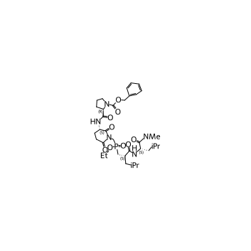 CCOP(=O)(C[C@@H](CC(C)C)C(=O)N[C@@H](CC(C)C)C(=O)NC)CN1C(=O)CC[C@H](NC(=O)[C@H]2CCCN2C(=O)OCc2ccccc2)C1=O